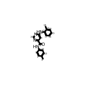 Cc1ccc(NC(=O)c2cc(Nc3ccccc3C)ncn2)cc1